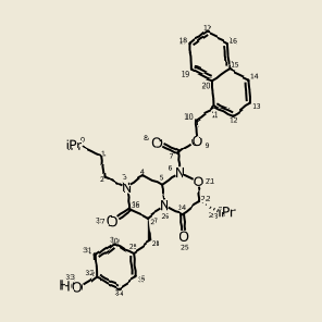 CC(C)CCN1CC2N(C(=O)OCc3cccc4ccccc34)O[C@H](C(C)C)C(=O)N2[C@@H](Cc2ccc(O)cc2)C1=O